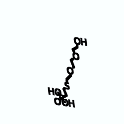 O=P(O)(O)CCSCCOCCOCCO